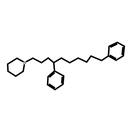 c1ccc(CCCCCCC(CCCN2CCCCC2)c2ccccc2)cc1